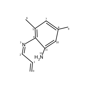 C=C/C=N\c1c(C)cc(C)cc1N